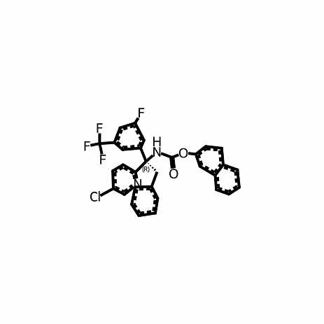 O=C(N[C@](Cc1ccccc1)(c1cc(F)cc(C(F)(F)F)c1)c1ccc(Cl)cn1)Oc1ccc2ccccc2c1